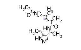 C=CC(=O)N1CC(/C(C)=C/C(=C)C(=O)NC(=C)c2cn[nH]c2C=C)C1